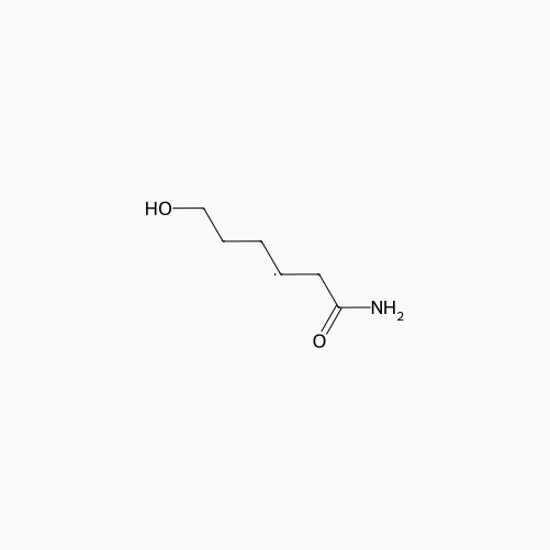 NC(=O)C[CH]CCCO